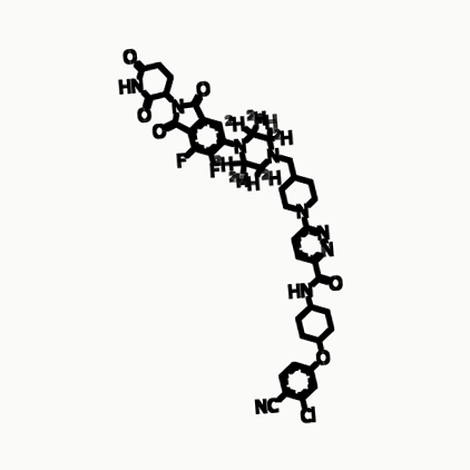 [2H]C1([2H])N(CC2CCN(c3ccc(C(=O)NC4CCC(Oc5ccc(C#N)c(Cl)c5)CC4)nn3)CC2)C([2H])([2H])C([2H])([2H])N(c2cc3c(c(F)c2F)C(=O)N(C2CCC(=O)NC2=O)C3=O)C1([2H])[2H]